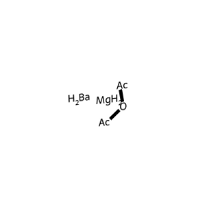 CC(=O)OC(C)=O.[BaH2].[MgH2]